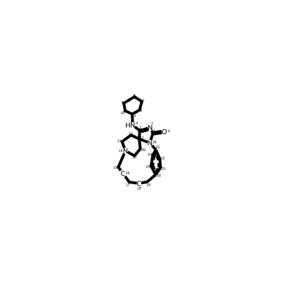 O=C1N=C(NC2CCCCC2)C23CCN(CCCCCc4ccc(cc4)N12)CC3